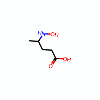 CC(CCC(=O)O)NO